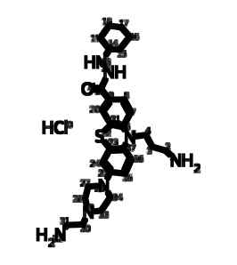 Cl.NCCCN1c2ccc(C(=O)NNC3CCCCC3)cc2Sc2cc(N3CCN(CCN)CC3)ccc21